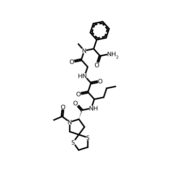 CCCC(NC(=O)[C@@H]1CC2(CN1C(C)=O)SCCS2)C(=O)C(=O)NCC(=O)N(C)C(C(N)=O)c1ccccc1